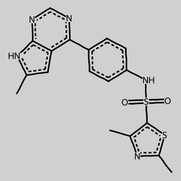 Cc1cc2c(-c3ccc(NS(=O)(=O)c4sc(C)nc4C)cc3)ncnc2[nH]1